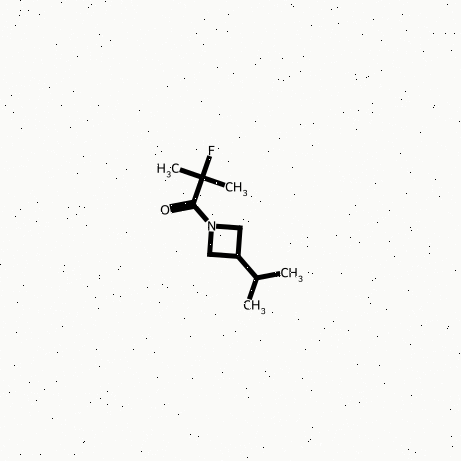 CC(C)C1CN(C(=O)C(C)(C)F)C1